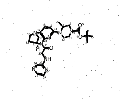 CC1CN(C(=O)OC(C)(C)C)CCN1c1ccc2c(n1)N(C(=O)CNc1cnccn1)[C@H]1CCN2C1